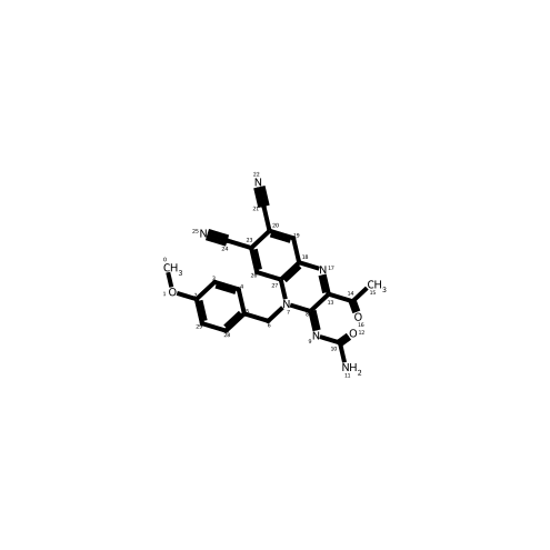 COc1ccc(Cn2/c(=N/C(N)=O)c(C(C)=O)nc3cc(C#N)c(C#N)cc32)cc1